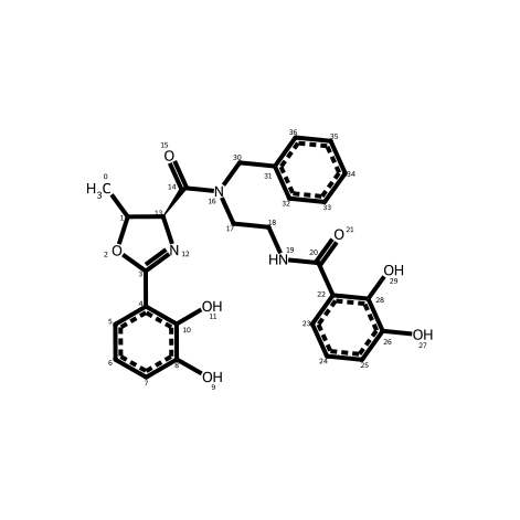 CC1OC(c2cccc(O)c2O)=N[C@@H]1C(=O)N(CCNC(=O)c1cccc(O)c1O)Cc1ccccc1